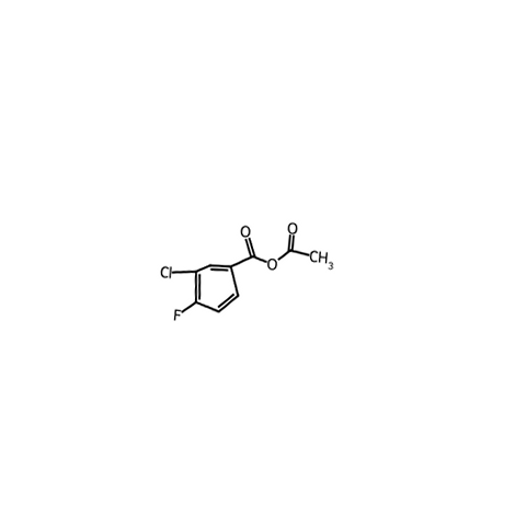 CC(=O)OC(=O)c1ccc(F)c(Cl)c1